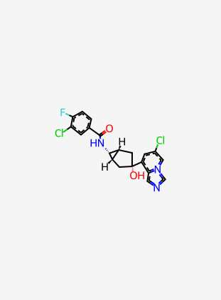 O=C(N[C@@H]1[C@@H]2C[C@@](O)(c3cc(Cl)cn4cncc34)C[C@@H]21)c1ccc(F)c(Cl)c1